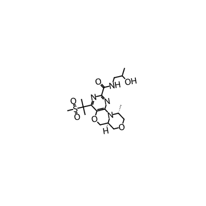 CC(O)CNC(=O)c1nc2c(c(C(C)(C)S(C)(=O)=O)n1)OC[C@@H]1COC[C@@H](C)N21